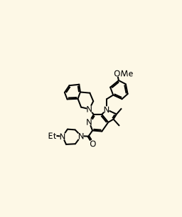 CCN1CCN(C(=O)c2cc3c(C)c(C)n(Cc4cccc(OC)c4)c3c(N3CCc4ccccc4C3)n2)CC1